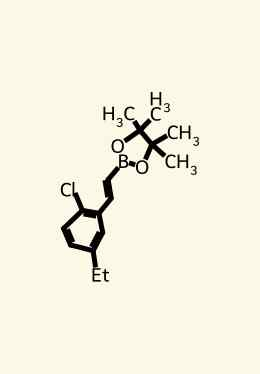 CCc1ccc(Cl)c(/C=C/B2OC(C)(C)C(C)(C)O2)c1